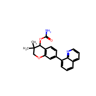 CC1(C)COc2cc(-c3cccc4cccnc34)ccc2C1OC(N)=O